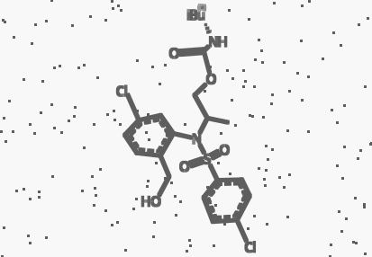 CC[C@@H](C)NC(=O)OCC(C)N(c1cc(Cl)ccc1CO)S(=O)(=O)c1ccc(Cl)cc1